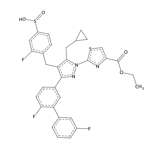 CCOC(=O)c1csc(-n2nc(-c3ccc(F)c(-c4cccc(F)c4)c3)c(Cc3ccc(S(=O)O)cc3F)c2CC2CC2)n1